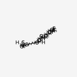 CCC1(COCCCCCCOc2ccc(C(=O)Nc3ccc(-c4ccc(OC(F)(F)F)cc4)cc3)cc2)COC1